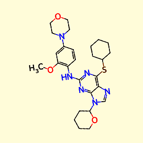 COc1cc(N2CCOCC2)ccc1Nc1nc(SC2CCCCC2)c2ncn(C3CCCCO3)c2n1